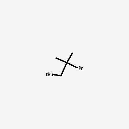 CC(C)C(C)(C)CC(C)(C)C